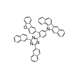 c1ccc2cc(-c3nc(-c4ccc5ccccc5c4)nc(-c4ccc(-n5c6cc7ccccc7cc6c6ccc7ccccc7c65)cc4-c4ccc5oc6ccccc6c5c4)n3)ccc2c1